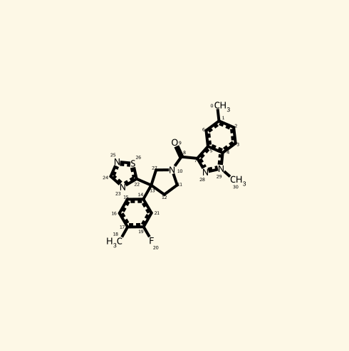 Cc1ccc2c(c1)c(C(=O)N1CCC(c3ccc(C)c(F)c3)(c3ncns3)C1)nn2C